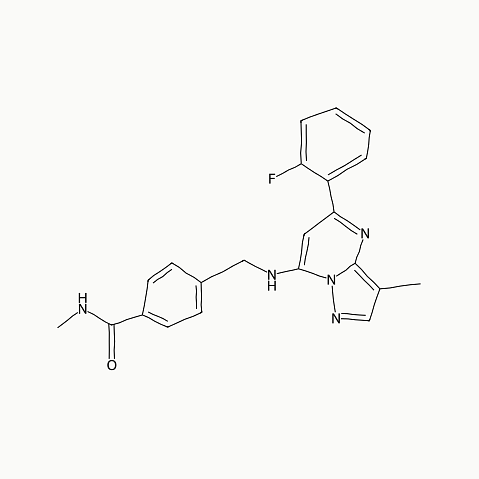 CNC(=O)c1ccc(CNc2cc(-c3ccccc3F)nc3c(C)cnn23)cc1